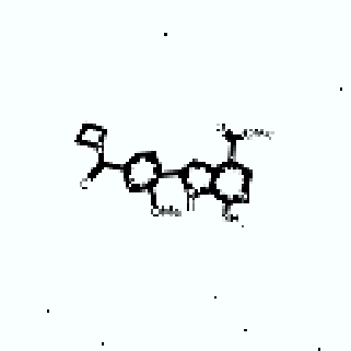 COC(=O)c1cnc(N)c2[nH]c(-c3ccc(C(=O)N4CCC4)cc3OC)cc12